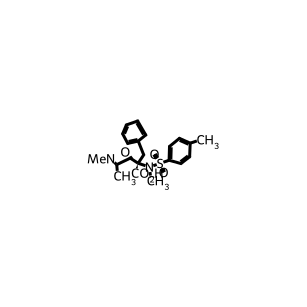 CNC(C)C(=O)[C@](Cc1ccccc1)(C(=O)O)N(C)S(=O)(=O)c1ccc(C)cc1